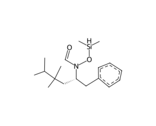 CC(C)C(C)(C)C[C@@H](Cc1ccccc1)N(C=O)O[SiH](C)C